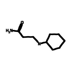 NC(=O)CC[N]C1CCCCC1